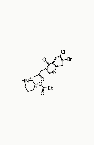 CCC(=O)O[C@H]1CCCN[C@@H]1CC(=O)Cn1cnc2cc(Br)c(Cl)cc2c1=O